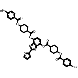 CCCc1ccc(C(=O)OC2CCC(C(=O)Oc3ccc(OC(=O)C4CCC(OC(=O)c5ccc(CCC)cc5)CC4)c4sc(-c5cccs5)nc34)CC2)cc1